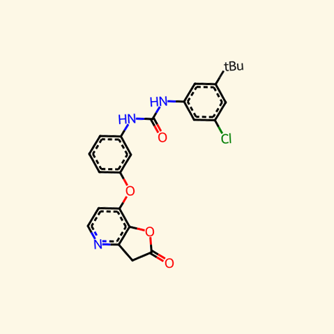 CC(C)(C)c1cc(Cl)cc(NC(=O)Nc2cccc(Oc3ccnc4c3OC(=O)C4)c2)c1